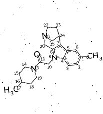 Cc1ccc2c(c1)c1c(n2CC(=O)N2CCC(C)CC2)CN2CCC1C2